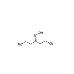 N#CCCC(CCC#N)=NO